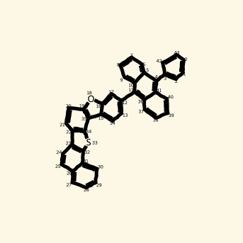 c1ccc(-c2c3ccccc3c(-c3ccc4c(c3)oc3ccc5c6ccc7ccccc7c6sc5c34)c3ccccc23)cc1